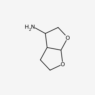 NC1COC2OCCC12